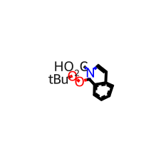 CC(C)(C)OOC1c2ccccc2C=CN1C(=O)O